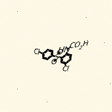 O=C(O)Nc1ccc(Cl)cc1S(=O)(=O)c1ccc(Cl)cc1